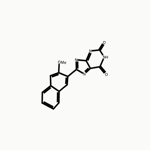 COc1cc2ccccc2cc1C1=NC2=NC(=O)NC(=O)C2=N1